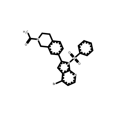 CC(=O)N1CCc2ccc(-c3cc4c(Br)ccnc4n3S(=O)(=O)c3ccccc3)cc2C1